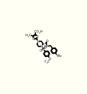 Cc1nc(N2CCN(S(=O)(=O)c3ccc(OC(F)(F)F)cc3)[C@@H](C(=O)NCc3ccc(C(C)(C)C)cc3)C2)sc1C(=O)O